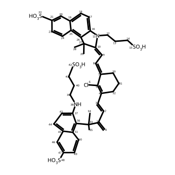 C=C(/C=C/C1=C(Cl)C(=C/C=C2/N(CCCS(=O)(=O)O)c3ccc4cc(S(=O)(=O)O)ccc4c3C2(C)C)/CCC1)C(C)(C)c1c(NCCCS(=O)(=O)O)ccc2cc(S(=O)(=O)O)ccc12